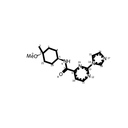 CO[C@]1(C)CC[C@@H](NC(=O)c2ccnc(-n3ccnc3)n2)CC1